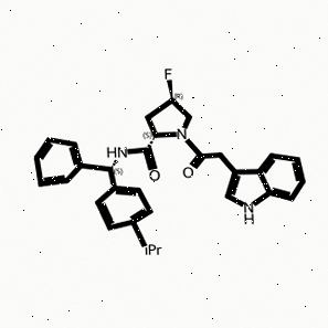 CC(C)c1ccc([C@@H](NC(=O)[C@@H]2C[C@@H](F)CN2C(=O)Cc2c[nH]c3ccccc23)c2ccccc2)cc1